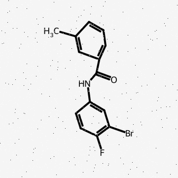 Cc1cccc(C(=O)Nc2ccc(F)c(Br)c2)c1